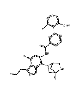 COc1cccc(F)c1-c1nccc(C(=O)Nc2cc(F)c3c(cnn3CCF)c2N2C[C@@H]3CC2CN3)n1